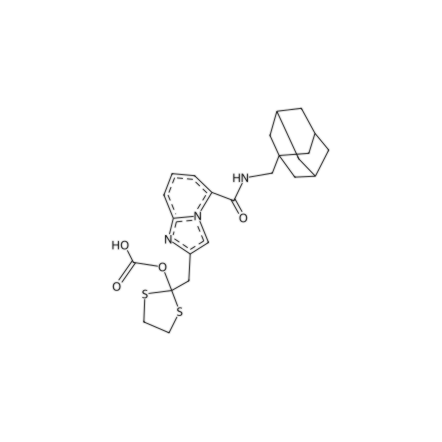 O=C(O)OC1(Cc2cn3c(C(=O)NCC45CC6CC(CC(C6)C4)C5)cccc3n2)SCCS1